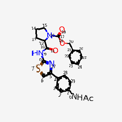 CC(=O)Nc1ccc(-c2csc(NC(=O)C3CCCN3C(=O)OCc3ccccc3)n2)cc1